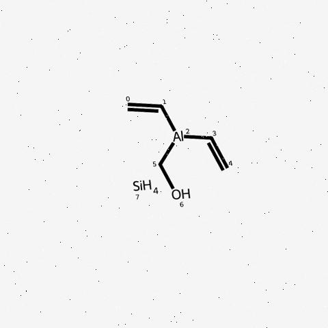 C=[CH][Al]([CH]=C)[CH2]O.[SiH4]